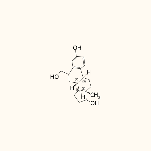 C[C@]12CC[C@@H]3c4ccc(O)cc4C(CO)C[C@H]3[C@@H]1CCC2O